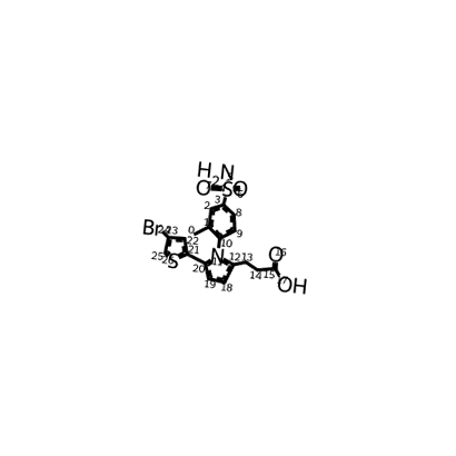 Cc1cc(S(N)(=O)=O)ccc1-n1c(CCC(=O)O)ccc1-c1cc(Br)cs1